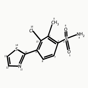 Cc1c(S(N)(=O)=O)ccc(-c2nccs2)c1Cl